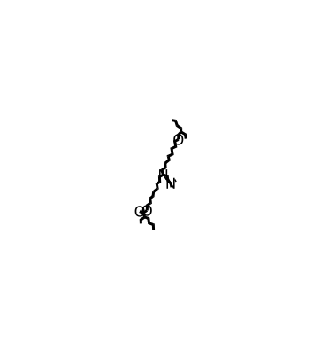 CCCCC(CC)COCCCCCCCCCN(CCCCCCCCCOC(=O)C(CC)CCCC)CCN(C)C